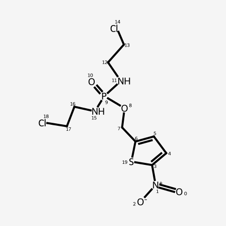 O=[N+]([O-])c1ccc(COP(=O)(NCCCl)NCCCl)s1